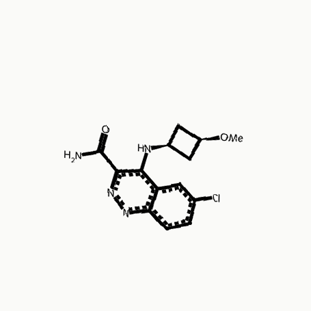 CO[C@H]1C[C@@H](Nc2c(C(N)=O)nnc3ccc(Cl)cc23)C1